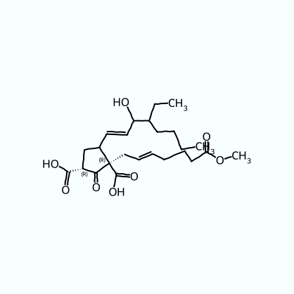 CCCCC(CC)C(O)C=CC1C[C@@H](C(=O)O)C(=O)[C@]1(CC=CCCCC(=O)OC)C(=O)O